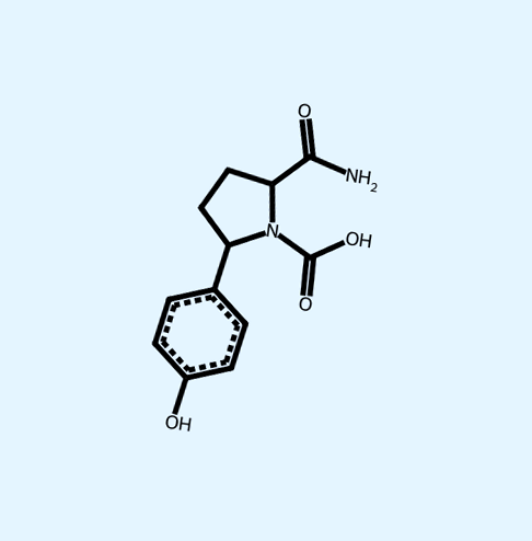 NC(=O)C1CCC(c2ccc(O)cc2)N1C(=O)O